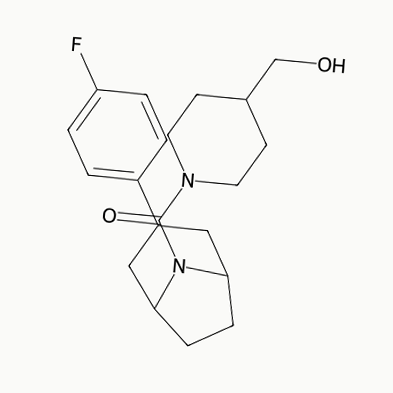 O=C(N1CCC(CO)CC1)N1C2CCC1CC(c1ccc(F)cc1)C2